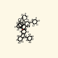 C1=CCC2(c3cc(-c4ccccc4)nc4ccc5ccccc5c34)C(=C1)Oc1ccc(-c3ccc4c(c3)c3ccccc3n4-c3ccccc3)cc12